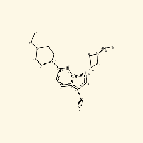 CCN1CCN(c2ccc3c(C#N)cn([C@H]4C[C@H](NC)C4)c3n2)CC1